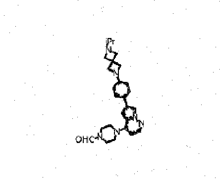 CC(C)N1CC2(CN(c3ccc(-c4cc5c(N6CCN(C=O)CC6)ccnn5c4)cc3)C2)C1